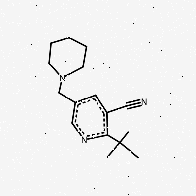 CC(C)(C)c1ncc(CN2CCCCC2)cc1C#N